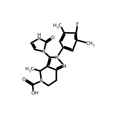 Cc1cc(-n2nc3c(c2-n2cc[nH]c2=O)C(C)N(C(=O)O)CC3)cc(C)c1F